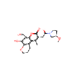 COC1CCN(C(=O)Cc2c(C)c3c4c(c(O)c(C=O)c3oc2=O)OCCC4)C1